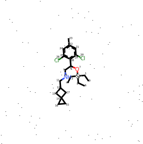 CC[Si](CC)(CC)OC(CNCC1CC2(CC2)C1)c1c(Cl)cc(C)cc1Cl